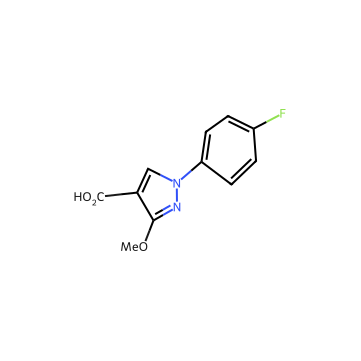 COc1nn(-c2ccc(F)cc2)cc1C(=O)O